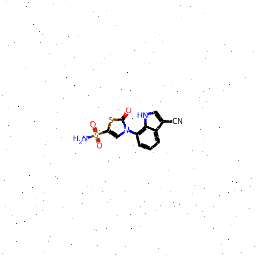 N#Cc1c[nH]c2c(-n3cc(S(N)(=O)=O)sc3=O)cccc12